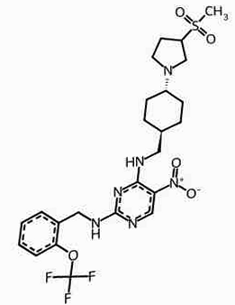 CS(=O)(=O)C1CCN([C@H]2CC[C@H](CNc3nc(NCc4ccccc4OC(F)(F)F)ncc3[N+](=O)[O-])CC2)C1